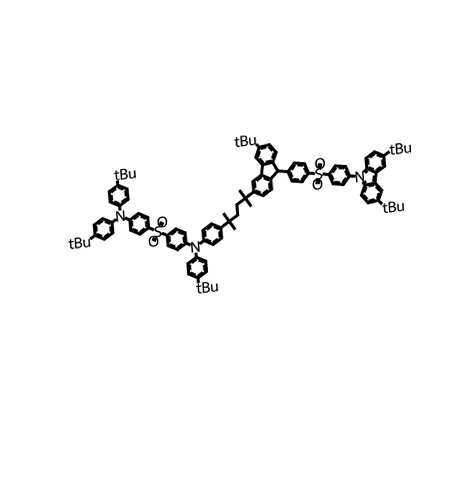 CC(C)(C)c1ccc(N(c2ccc(C(C)(C)C)cc2)c2ccc(S(=O)(=O)c3ccc(N(c4ccc(C(C)(C)C)cc4)c4ccc(C(C)(C)CCC(C)(C)c5ccc6c(c5)-c5cc(C(C)(C)C)ccc5C6c5ccc(S(=O)(=O)c6ccc(-n7c8ccc(C(C)(C)C)cc8c8cc(C(C)(C)C)ccc87)cc6)cc5)cc4)cc3)cc2)cc1